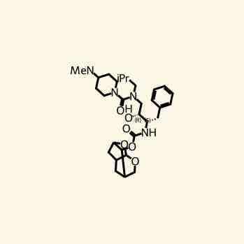 CNC1CCN(C(=O)N(CC(C)C)C[C@@H](O)[C@H](Cc2ccccc2)NC(=O)OC2C3COC4OC2CC4C3)CC1